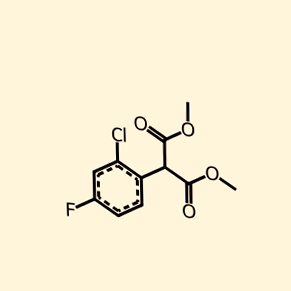 COC(=O)C(C(=O)OC)c1ccc(F)cc1Cl